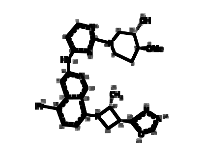 CO[C@H]1CCN(c2nccc(Nc3cc4c(C(C)C)ccc(N5C[C@H](c6nnco6)[C@H]5C)c4cn3)n2)C[C@@H]1O